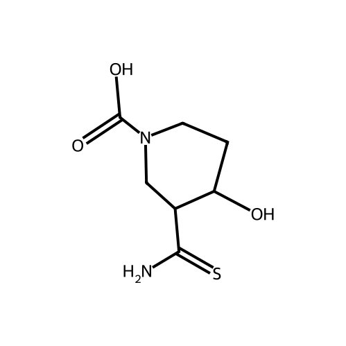 NC(=S)C1CN(C(=O)O)CCC1O